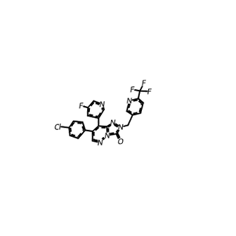 O=c1n(Cc2ccc(C(F)(F)F)nc2)nc2c(-c3cncc(F)c3)c(-c3ccc(Cl)cc3)cnn12